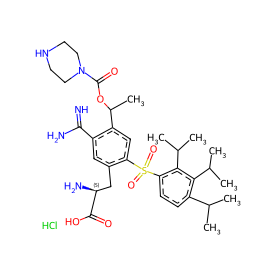 CC(C)c1ccc(S(=O)(=O)c2cc(C(C)OC(=O)N3CCNCC3)c(C(=N)N)cc2C[C@H](N)C(=O)O)c(C(C)C)c1C(C)C.Cl